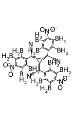 Bc1c(B)c([N+](=O)[O-])c(B)c(B)c1C(C#N)=C1C(=C(C#N)c2c(B)c(B)c([N+](=O)[O-])c(B)c2B)C1=C(C#N)c1c(B)c(B)c([N+](=O)[O-])c(B)c1B